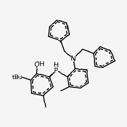 Cc1cc(Pc2c(C)cccc2N(Cc2ccccc2)Cc2ccccc2)c(O)c(C(C)(C)C)c1